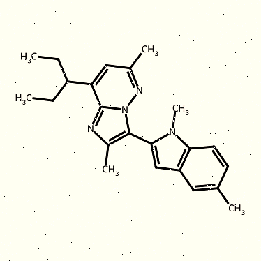 CCC(CC)c1cc(C)nn2c(-c3cc4cc(C)ccc4n3C)c(C)nc12